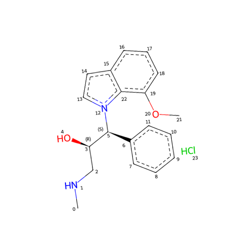 CNC[C@@H](O)[C@H](c1ccccc1)n1ccc2cccc(OC)c21.Cl